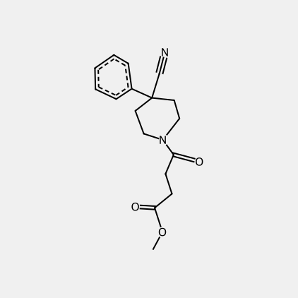 COC(=O)CCC(=O)N1CCC(C#N)(c2ccccc2)CC1